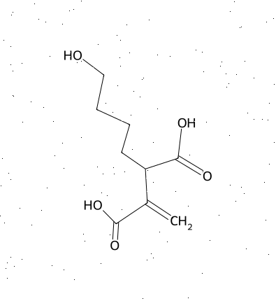 C=C(C(=O)O)C(CCCCO)C(=O)O